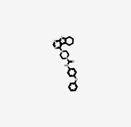 O=C(Nc1ccc(Oc2ccccc2)cc1)N1CCN(c2ncnc3sc4c(c23)CCCC4)CC1